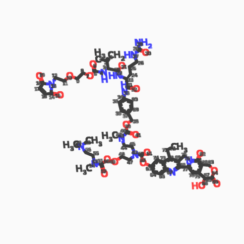 C=C(C)[C@H](NC(=O)OCCOCCN1C(=O)C=CC1=O)C(=O)N[C@@H](CCCNC(N)=O)C(=O)Nc1ccc(COC(=O)N(C)CCN(CCOOC(=O)N(C)CCN(C)C)C(=O)Oc2ccc3nc4c(c(CC)c3c2)Cn2c-4cc3c(c2=O)COC(=O)C3O)cc1